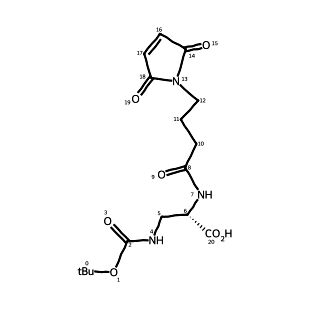 CC(C)(C)OC(=O)NC[C@H](NC(=O)CCCN1C(=O)C=CC1=O)C(=O)O